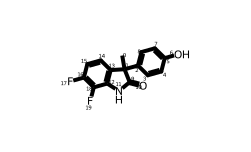 CC1(c2ccc(O)cc2)C(=O)Nc2c1ccc(F)c2F